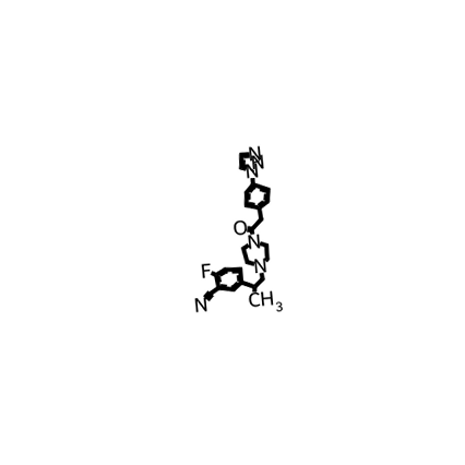 CC(CN1CCN(C(=O)Cc2ccc(-n3ccnn3)cc2)CC1)c1ccc(F)c(C#N)c1